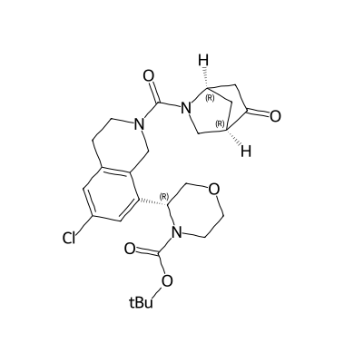 CC(C)(C)OC(=O)N1CCOC[C@H]1c1cc(Cl)cc2c1CN(C(=O)N1C[C@H]3C[C@@H]1CC3=O)CC2